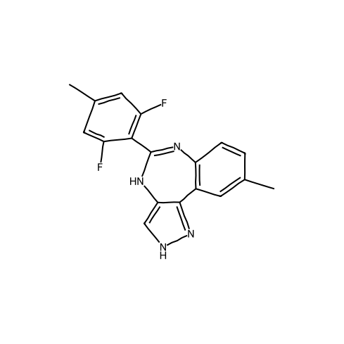 Cc1cc(F)c(C2=Nc3ccc(C)cc3-c3n[nH]cc3N2)c(F)c1